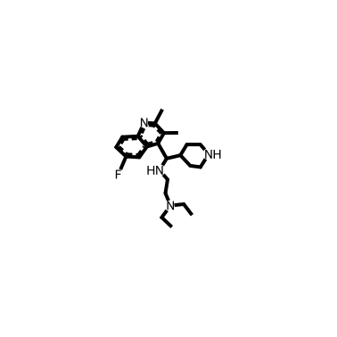 CCN(CC)CCNC(c1c(C)c(C)nc2ccc(F)cc12)C1CCNCC1